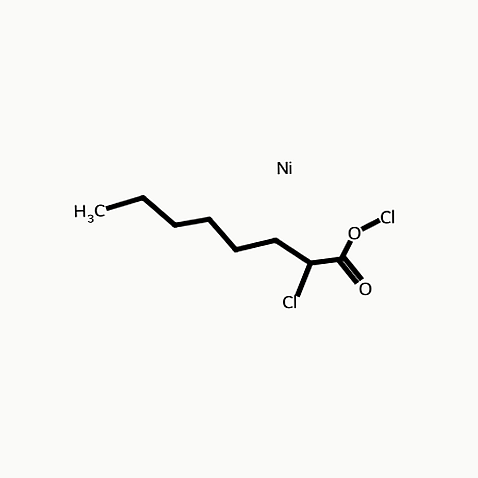 CCCCCCC(Cl)C(=O)OCl.[Ni]